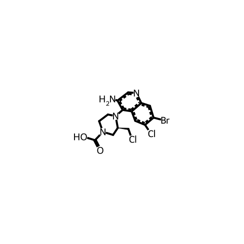 Nc1cnc2cc(Br)c(Cl)cc2c1N1CCN(C(=O)O)C[C@@H]1CCl